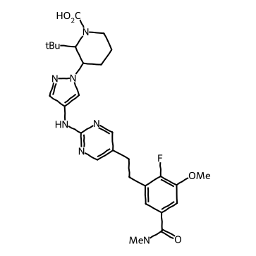 CNC(=O)c1cc(CCc2cnc(Nc3cnn(C4CCCN(C(=O)O)C4C(C)(C)C)c3)nc2)c(F)c(OC)c1